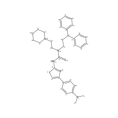 CN(C)c1ccc(-c2csc(NC(=O)N(CCC(c3ccccc3)c3ccccc3)CCN3CCOCC3)n2)cc1